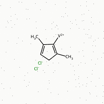 CC1=CCC(C)=[C]1[V+2].[Cl-].[Cl-]